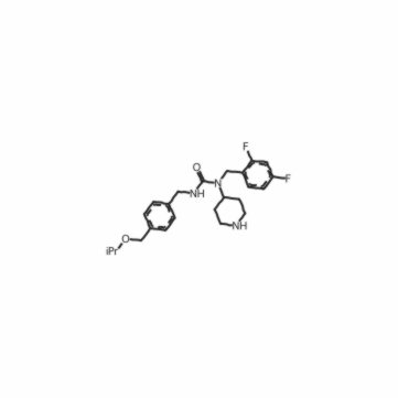 CC(C)OCc1ccc(CNC(=O)N(Cc2ccc(F)cc2F)C2CCNCC2)cc1